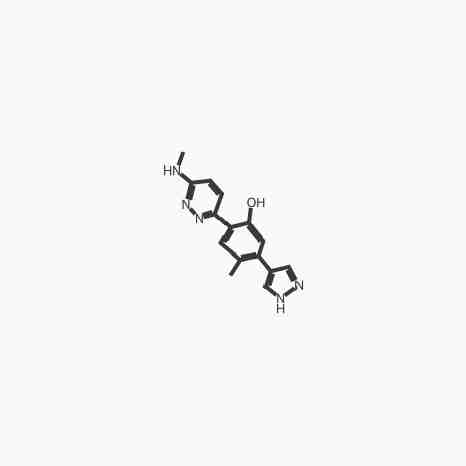 CNc1ccc(-c2cc(C)c(-c3cn[nH]c3)cc2O)nn1